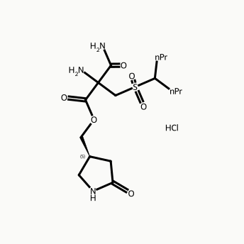 CCCC(CCC)S(=O)(=O)CC(N)(C(N)=O)C(=O)OC[C@@H]1CNC(=O)C1.Cl